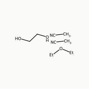 CC#N.CC#N.CCOCC.OCCO